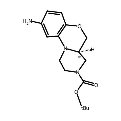 CC(C)(C)OC(=O)N1CCN2c3cc(N)ccc3OC[C@H]2C1